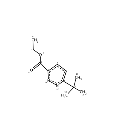 CCOC(=O)c1ccc(C(C)(C)C)nn1